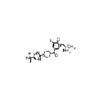 CC(N)Cn1cc(C(=O)N2CCN(c3ncc(C(F)(F)F)cn3)CC2)cc(F)c1=O